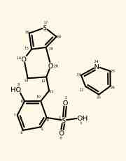 O=S(=O)(O)c1cccc(O)c1CC1COc2cscc2O1.c1ccncc1